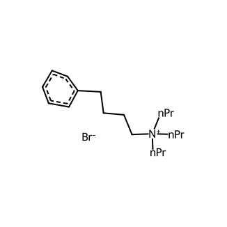 CCC[N+](CCC)(CCC)CCCCc1ccccc1.[Br-]